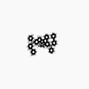 C[Si](C)(C)C1([Si](C)(C)C)c2c(ccc3cc(N(c4ccccc4)c4cccc(-c5ccccc5)c4)ccc23)-c2c1c1ccc(N(c3ccccc3)c3cccc(-c4ccccc4)c3)cc1c1ccccc21